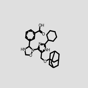 O=C(O)c1cccc(C2NCON2c2nc(C3CCCCC3)[nH]c2COC23CC4CC(CC(C4)C2)C3)c1